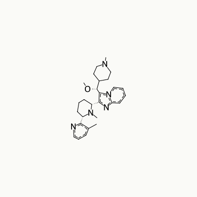 CO[C@@H](c1c([C@H]2CCC[C@@H](c3ncccc3C)N2C)nc2ccccn12)C1CCN(C)CC1